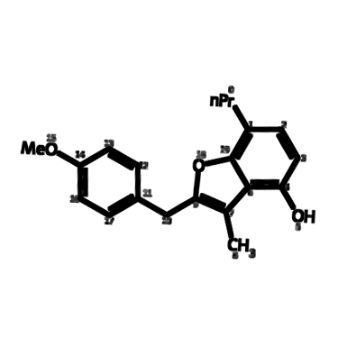 CCCc1ccc(O)c2c(C)c(Cc3ccc(OC)cc3)oc12